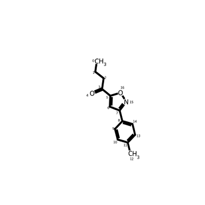 CCCC(=O)c1cc(-c2ccc(C)cc2)no1